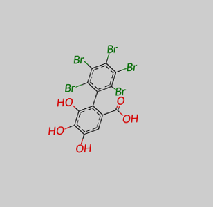 O=C(O)c1cc(O)c(O)c(O)c1-c1c(Br)c(Br)c(Br)c(Br)c1Br